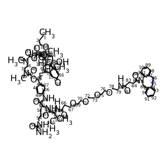 CCCC1O[C@@H]2C[C@H]3[C@@H]4C[C@H](F)C5=CC(=O)C=C[C@]5(C)[C@@]4(F)[C@@H](O)C[C@]3(C)[C@]2(C(=O)COC(=O)N(C)CCN(C)C(=O)OCc2ccc(NC(=O)[C@H](CCCNC(N)=O)NC(=O)[C@@H](NC(=O)CCOCCOCCOCCOCCNC(=O)CCC(=O)N3Cc4ccccc4/C=C\c4ccccc43)C(C)C)cc2)O1